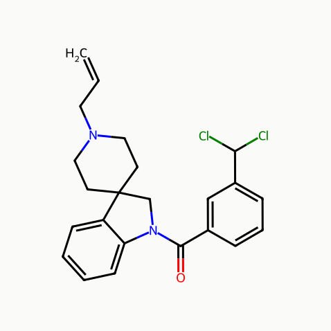 C=CCN1CCC2(CC1)CN(C(=O)c1cccc(C(Cl)Cl)c1)c1ccccc12